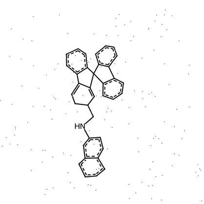 C1=C2C(=CC(CNc3ccc4ccccc4c3)C1)C1(c3ccccc32)c2ccccc2-c2ccccc21